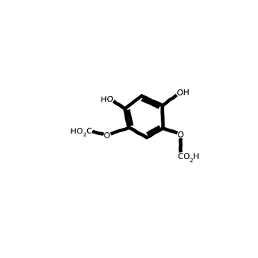 O=C(O)Oc1cc(OC(=O)O)c(O)cc1O